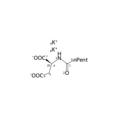 CCCCCC(=O)N[C@@H](CC(=O)[O-])C(=O)[O-].[K+].[K+]